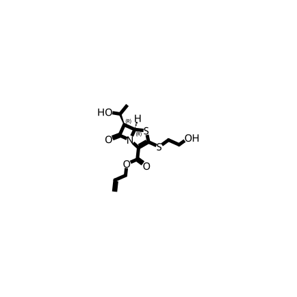 C=CCOC(=O)C1=C(SCCO)S[C@@H]2[C@H](C(C)O)C(=O)N12